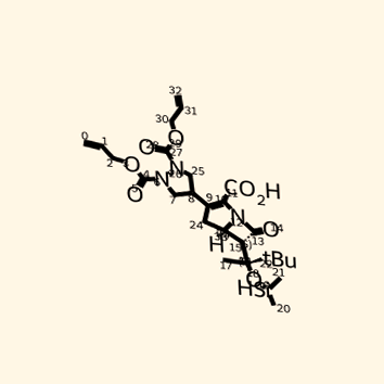 C=CCOC(=O)N1CC(C2=C(C(=O)O)N3C(=O)[C@H]([C@@](C)(O[SiH](C)C)C(C)(C)C)[C@H]3C2)CN1C(=O)OCC=C